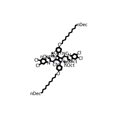 [C-]#[N+]/C(c1cnc2cc(Cl)c(Cl)cc2n1)=c1\c2c(-c3ccc(OCCCCCCCCCCCCCCCCCCCC)cc3)n(B(CCCCCCCC)CCCCCCCC)/c(=C(/C#N)c3cnc4cc(Cl)c(Cl)cc4n3)c2c(-c2ccc(OCCCCCCCCCCCCCCCCCCCC)cc2)n1B(CCCCCCCC)CCCCCCCC